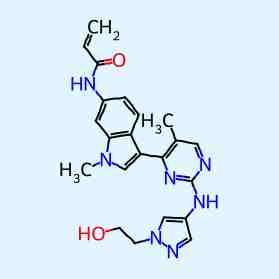 C=CC(=O)Nc1ccc2c(-c3nc(Nc4cnn(CCO)c4)ncc3C)cn(C)c2c1